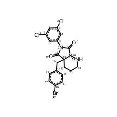 O=C1N(c2cc(Cl)cc(Cl)c2)C(=O)C2(Cc3ccc(Br)cc3)CCCNN12